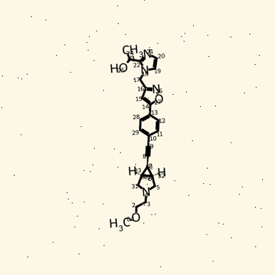 COCCN1C[C@@H]2[C@H](C#Cc3ccc(-c4cc(Cn5ccnc5[C@H](C)O)no4)cc3)[C@@H]2C1